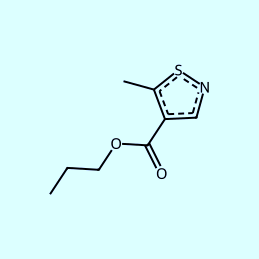 CCCOC(=O)c1cnsc1C